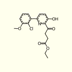 CCOC(=O)CCC(=O)c1nc(-c2cccc(OC)c2Cl)ccc1O